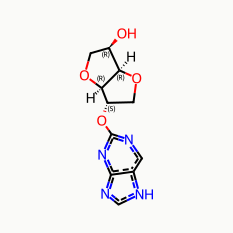 O[C@@H]1CO[C@H]2[C@@H]1OC[C@@H]2Oc1ncc2[nH]cnc2n1